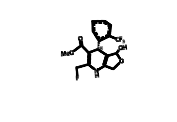 COC(=O)C1=C(CF)NC2=C(C(O)OC2)[C@H]1c1ccccc1C(F)(F)F